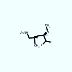 C/N=C(\C=C(/C)CNC(C)=O)C(F)F